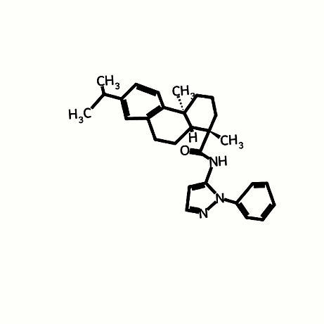 CC(C)c1ccc2c(c1)CC[C@H]1[C@@](C)(C(=O)Nc3ccnn3-c3ccccc3)CCC[C@]21C